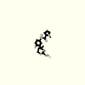 Cn1cccc1C(=O)Nc1ccc(F)c(C2(C)CCSC(N)=N2)c1